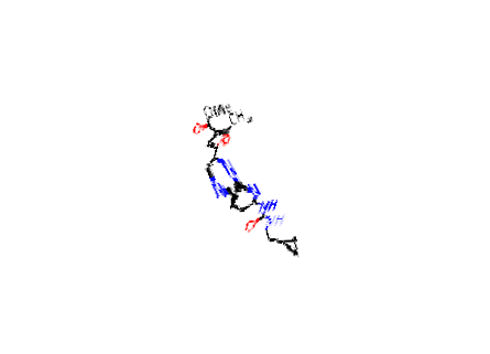 COC(=O)c1cc(-c2cnc3ccc(NC(=O)NCC4CC4)nc3n2)oc1C